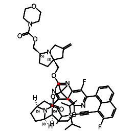 C=C1CN2[C@H](COC(=O)N3CCOCC3)CC[C@@]2(COc2nc3c4c(nc(-c5cccc6ccc(F)c(C#C[Si](C(C)C)(C(C)C)C(C)C)c56)c(F)c4n2)OCC[C@H]2[C@H]4CC[C@@H](CN32)N4C(=O)OC(C)(C)C)C1